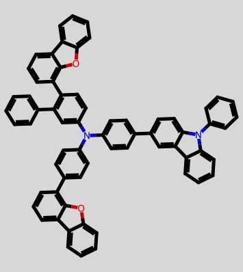 c1ccc(-c2cc(N(c3ccc(-c4ccc5c(c4)c4ccccc4n5-c4ccccc4)cc3)c3ccc(-c4cccc5c4oc4ccccc45)cc3)ccc2-c2cccc3c2oc2ccccc23)cc1